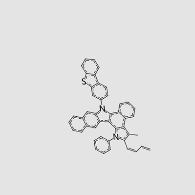 C=C/C=C\c1c(C)c2c3ccccc3c3c(c4cc5ccccc5cc4n3-c3ccc4c(c3)sc3ccccc34)c2n1-c1ccccc1